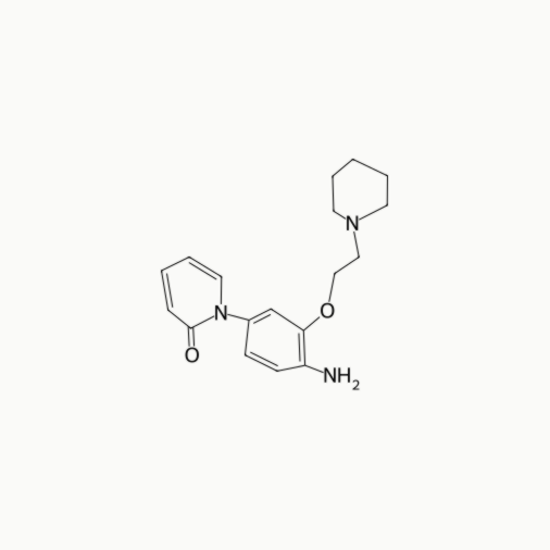 Nc1ccc(-n2ccccc2=O)cc1OCCN1CCCCC1